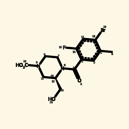 Cc1cc(C(=O)N2CCN(C(=O)O)C[C@@H]2CO)c(F)cc1Br